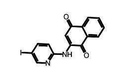 O=C1C=C(Nc2ccc(I)cn2)C(=O)c2ccccc21